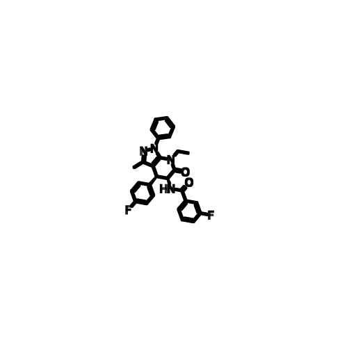 CCN1C(=O)[C@@H](NC(=O)c2cccc(F)c2)[C@@H](c2ccc(F)cc2)c2c(C)nn(-c3ccccc3)c21